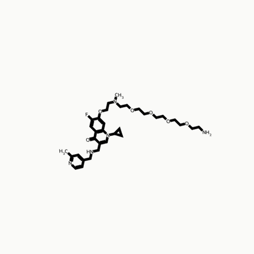 Cc1cc(CNCc2cn(C3CC3)c3cc(OCCN(C)CCOCCOCCOCCOCCN)c(F)cc3c2=O)ccn1